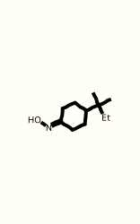 CCC(C)(C)C1CCC(=NO)CC1